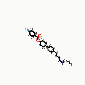 C/C=C\CCC[C@H]1CC[C@H]([C@H]2CC[C@H](OC(=O)c3ccc(F)cc3)CC2)CC1